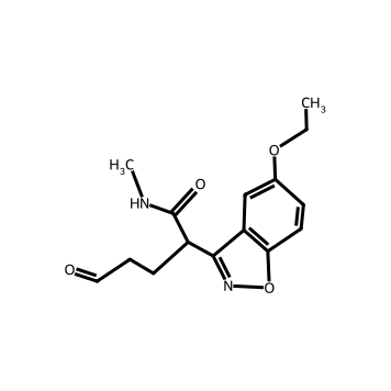 CCOc1ccc2onc(C(CCC=O)C(=O)NC)c2c1